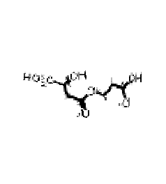 O=C(CC(O)C(=O)O)OCCC(O)Cl